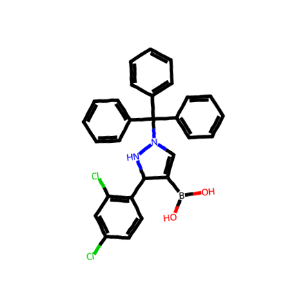 OB(O)C1=CN(C(c2ccccc2)(c2ccccc2)c2ccccc2)NC1c1ccc(Cl)cc1Cl